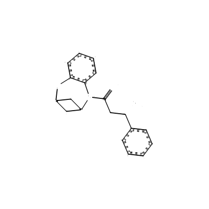 N[C@@H](CC(=O)N1c2ccccc2OC2CC1C2)c1ccccc1